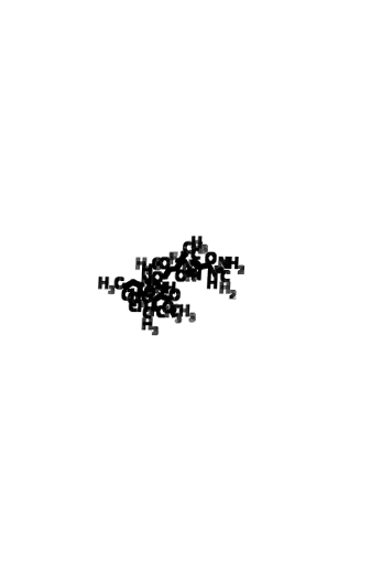 C#CC(F)(C(O)C(COP(=O)(NC(CC(C)C)C(=O)OC)NC(CC(C)C)C(=O)OC)OC)n1cnc(C(=O)NC(=C)N)c1C